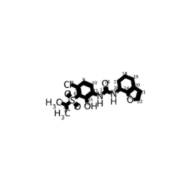 CC(C)S(=O)(=O)c1c(Cl)ccc(NC(=O)NC2CCCc3ccoc32)c1O